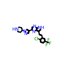 FC(F)(F)c1ccc(Cl)c(/C=C/c2c[nH]c3ncc(-c4cnn(C5CCNCC5)c4)nc23)c1